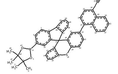 CC1(C)OB(c2ccc3c(c2)C2(c4ccccc4Sc4ccc(-c5ccc(C#N)c6ccccc56)cc42)c2ccccc2-3)OC1(C)C